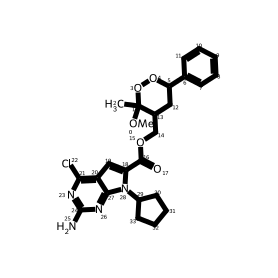 COC1(C)OOC(c2ccccc2)CC1COC(=O)c1cc2c(Cl)nc(N)nc2n1C1CCCC1